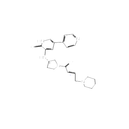 O=C(/C=C/CN1CCCCC1)N1CC[C@@H](Nc2cc(-c3ccncc3)c[nH]c2=O)C1